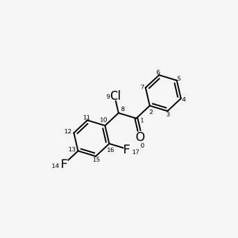 O=C(c1ccccc1)C(Cl)c1ccc(F)cc1F